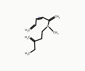 C=C/C=C\C(=C)N(C)CCC(=C)CC